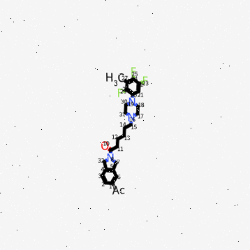 CC(=O)c1ccc2c(c1)CN(C(=O)CCCCCN1CCN(c3cc(F)c(F)c(C)c3F)CC1)C2